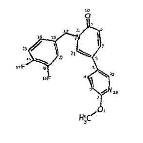 COc1ccc(-c2ccc(=O)n(Cc3ccc(F)c(F)c3)c2)cn1